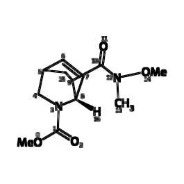 COC(=O)N1CC2C=C[C@H]1C(C(=O)N(C)OC)C2